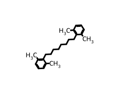 Cc1cccc(C)c1CCCCCCCCc1c(C)cccc1C